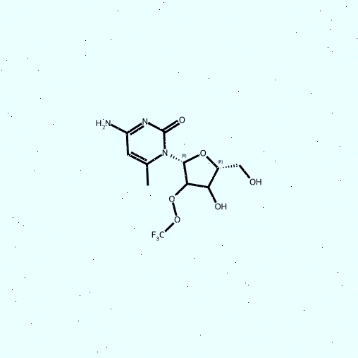 Cc1cc(N)nc(=O)n1[C@@H]1O[C@H](CO)C(O)C1OOC(F)(F)F